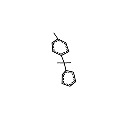 Cc1ccc(C(C)(C)c2ccccc2)cc1